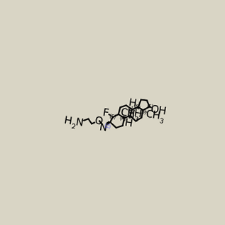 C[C@]12CC[C@H]3[C@@H](CCC4[C@H](F)/C(=N\OCCN)CC[C@@]43C)[C@@H]1CC[C@@H]2O